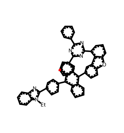 CCn1c(-c2ccc(-c3c4ccccc4c(-c4ccc5oc6cccc(-c7nc(-c8ccccc8)nc(-c8ccccc8)n7)c6c5c4)c4ccccc34)cc2)nc2ccccc21